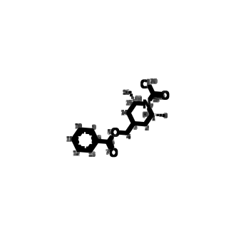 C[C@@H]1CC(COC(=O)c2ccccc2)C[C@H](C)N1C(=O)Cl